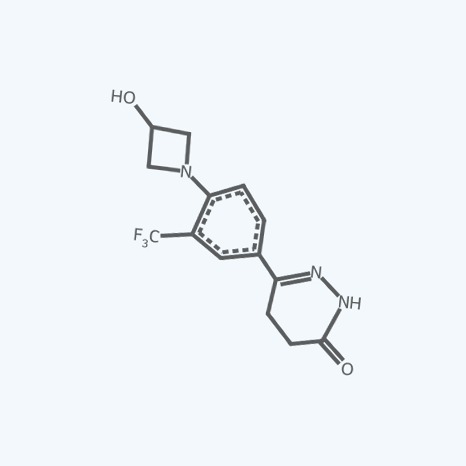 O=C1CCC(c2ccc(N3CC(O)C3)c(C(F)(F)F)c2)=NN1